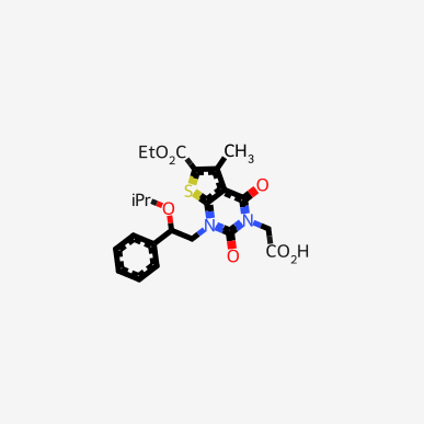 CCOC(=O)c1sc2c(c1C)c(=O)n(CC(=O)O)c(=O)n2CC(OC(C)C)c1ccccc1